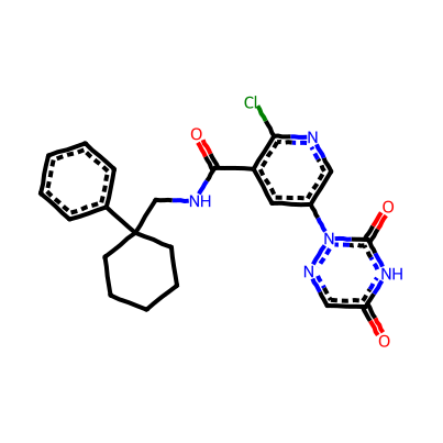 O=C(NCC1(c2ccccc2)CCCCC1)c1cc(-n2ncc(=O)[nH]c2=O)cnc1Cl